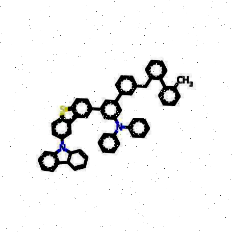 Cc1ccccc1-c1ccccc1Cc1cccc(-c2cc(-c3ccc4sc5ccc(N6c7ccccc7C7C=CC=CC76)cc5c4c3)cc(N(c3ccccc3)c3ccccc3)c2)c1